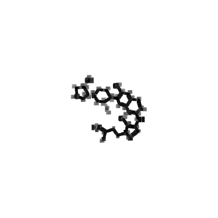 C=C(F)CCn1ncc(Nc2ncc3cc(Cl)c([C@@H]4CCN([C@@H]5COC[C@@H]5O)C[C@H]4F)cc3n2)c1Cl